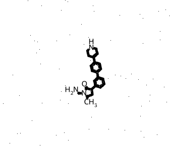 CC1CC(c2cccc(-c3ccc(C4=CCNCC4)cc3)c2)C(=O)N1CN